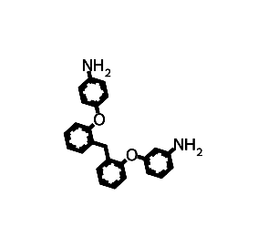 Nc1ccc(Oc2ccccc2Cc2ccccc2Oc2cccc(N)c2)cc1